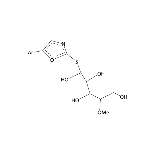 COC(CO)C(O)C(O)C(O)Sc1ncc(C(C)=O)o1